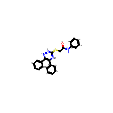 O=C(CSc1nnc(-c2ccccc2)c(-c2ccccc2)n1)Nc1ccccc1